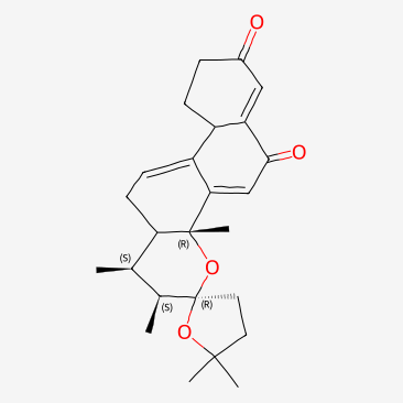 C[C@H]1C2CC=C3C(=CC(=O)C4=CC(=O)CCC43)[C@]2(C)O[C@]2(CCC(C)(C)O2)[C@H]1C